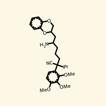 COc1ccc(C(C#N)(CCCC(N)CC2COc3ccccc3O2)C(C)C)c(OC)c1OC